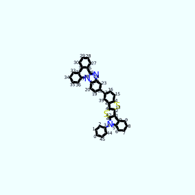 c1ccc(-n2c3ccccc3c3c4sc5ccc(-c6ccc7c(c6)nc6c8ccccc8c8ccccc8n76)cc5c4sc32)cc1